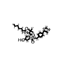 CCCCCCC(=O)N[C@H](C(=O)N1C[C@H](O)C[C@H]1C(=O)NCc1ccc(-c2scnc2C)cc1)C(C)(C)C